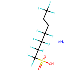 N.O=S(=O)(O)C(F)(F)C(F)(F)C(F)(F)C(F)(F)CCC(F)(F)F